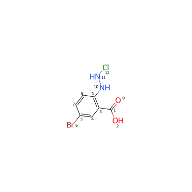 O=C(O)c1cc(Br)ccc1NNCl